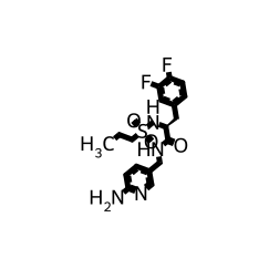 CCCS(=O)(=O)N[C@@H](Cc1ccc(F)c(F)c1)C(=O)NCc1ccc(N)nc1